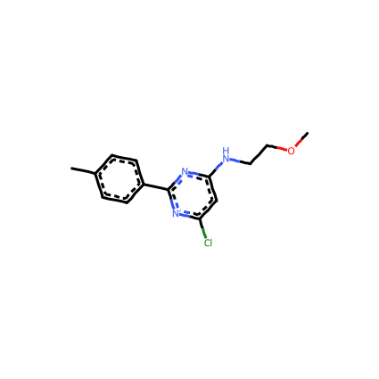 COCCNc1cc(Cl)nc(-c2ccc(C)cc2)n1